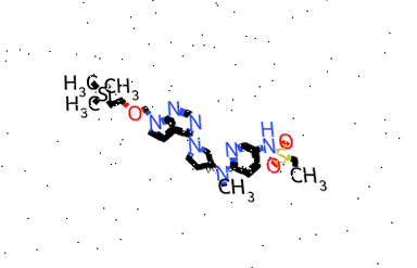 CCS(=O)(=O)Nc1ccc(N(C)[C@@H]2CCN(c3ncnc4c3ccn4COCC[Si](C)(C)C)C2)nc1